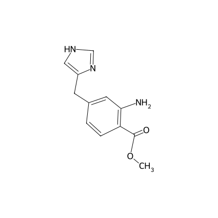 COC(=O)c1ccc(Cc2c[nH]cn2)cc1N